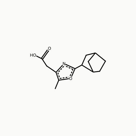 Cc1oc(C2CC3CCC2C3)nc1CC(=O)O